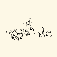 CCC(=O)NCCOc1ncc(C(=O)N[C@H](CC(C)C)C(O)I)cc1-c1ccc(Cl)cc1